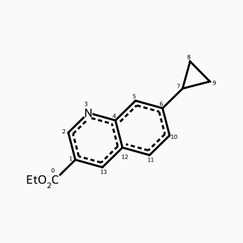 CCOC(=O)c1cnc2cc(C3CC3)ccc2c1